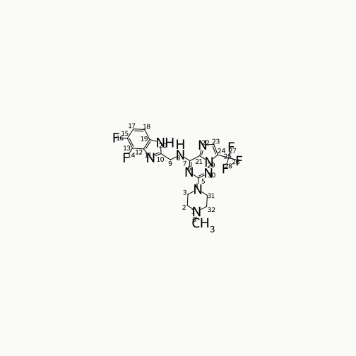 CN1CCN(c2nc(NCc3nc4c(F)c(F)ccc4[nH]3)c3ncc(C(F)(F)F)n3n2)CC1